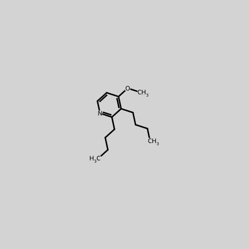 CCCCc1nccc(OC)c1CCCC